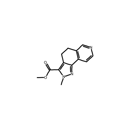 COC(=O)c1c2c(nn1C)-c1ccncc1CC2